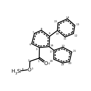 O=C(CO[SiH3])c1cccc(-c2ccccc2)c1-c1ccccc1